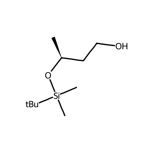 C[C@@H](CCO)O[Si](C)(C)C(C)(C)C